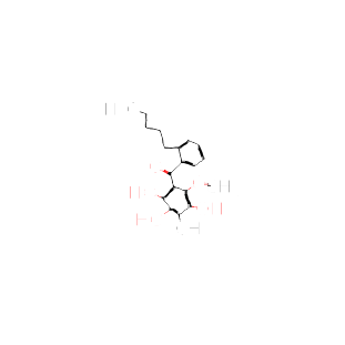 CCCCCc1ccccc1C(=O)c1c(O)c(O)c(C)c(O)c1OC